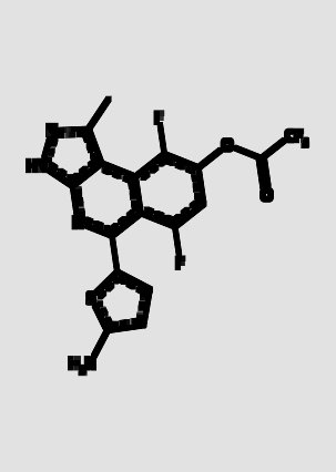 Cc1n[nH]c2nc(-c3ccc(N)s3)c3c(F)cc(OC(=O)C(F)(F)F)c(F)c3c12